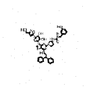 O=C(NCc1cccc(O)c1)N[C@@H]1CCN(c2nc(NCC(c3ccccc3)c3ccccc3)c3ncn([C@@H]4O[C@H](c5cc(CO)no5)[C@@H](O)[C@@H]4O)c3n2)C1